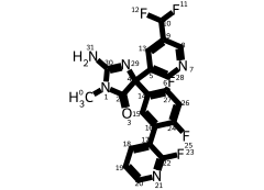 CN1C(=O)C(c2cncc(C(F)F)c2)(c2cc(-c3cccnc3F)c(F)cc2F)N=C1N